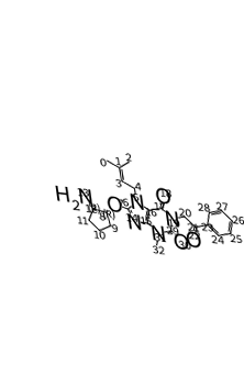 CC(C)=CCn1c(O[C@@H]2CCC[C@H]2N)nc2c1c(=O)n(CC(=O)c1ccccc1)c(=O)n2C